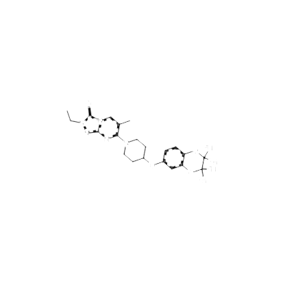 [2H]C1([2H])Oc2ccc(OC3CCN(c4nc5nn(CC)c(=O)n5cc4C)CC3)cc2OC1([2H])[2H]